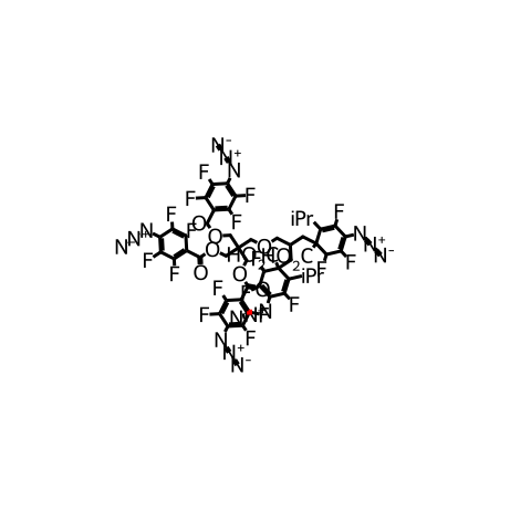 CC(C)C1=C(F)C(N=[N+]=[N-])=C(F)C(F)C1(CC(COCC(COC(=O)c1c(F)c(F)c(N=[N+]=[N-])c(F)c1F)(COC(=O)c1c(F)c(F)c(N=[N+]=[N-])c(F)c1F)COC(=O)c1c(F)c(F)c(N=[N+]=[N-])c(F)c1F)CC1(C(=O)O)C(C(C)C)=C(F)C(N=[N+]=[N-])=C(F)C1F)C(=O)O